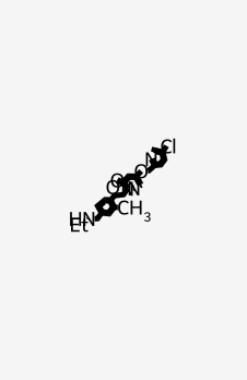 CCNCc1ccc(C(=O)Cn2ncc(OCc3ccc(Cl)cn3)cc2=O)c(C)c1